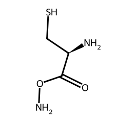 NOC(=O)[C@H](N)CS